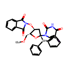 CC(C)(C)OC[C@H]1O[C@](n2cc(I)c(=O)[nH]c2=O)([SiH](c2ccccc2)c2ccccc2)C[C@@H]1ON1C(=O)c2ccccc2C1=O